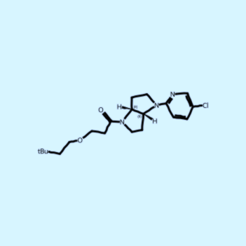 CC(C)(C)CCOCCC(=O)N1CC[C@@H]2[C@H]1CCN2c1ccc(Cl)cn1